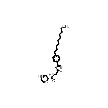 CCCCCCCCCCc1ccc(-c2noc(CNC(=O)[C@H]3CNCCO3)n2)cc1